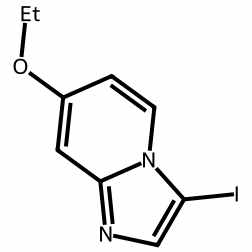 CCOc1ccn2c(I)cnc2c1